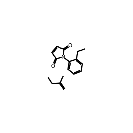 C=C(C)CC.CCc1ccccc1N1C(=O)C=CC1=O